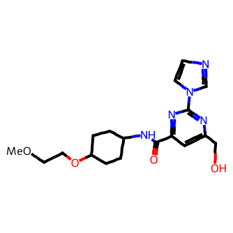 COCCOC1CCC(NC(=O)c2cc(CO)nc(-n3ccnc3)n2)CC1